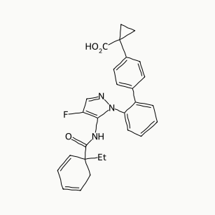 CCC1(C(=O)Nc2c(F)cnn2-c2ccccc2-c2ccc(C3(C(=O)O)CC3)cc2)C=CC=CC1